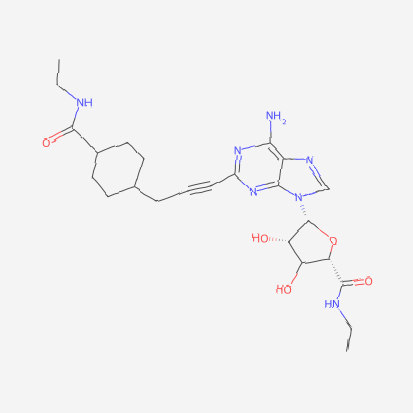 CCNC(=O)C1CCC(CC#Cc2nc(N)c3ncn([C@@H]4O[C@H](C(=O)NCC)C(O)[C@@H]4O)c3n2)CC1